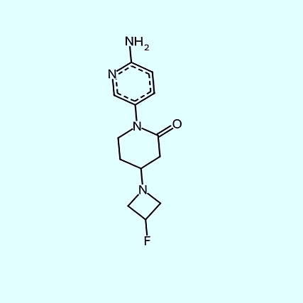 Nc1ccc(N2CCC(N3CC(F)C3)CC2=O)cn1